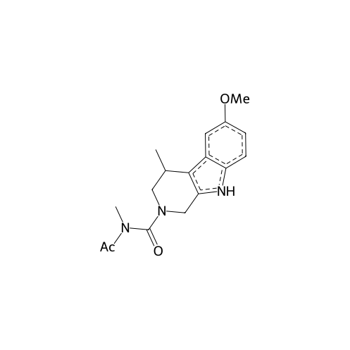 COc1ccc2[nH]c3c(c2c1)C(C)CN(C(=O)N(C)C(C)=O)C3